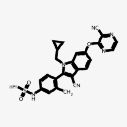 CCCS(=O)(=O)Nc1ccc(-c2c(C#N)c3ccc(Oc4nccnc4C#N)cc3n2CC2CC2)c(C)c1